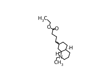 CCOC(=O)CC/C=C1\CC[C@H]2CCCN(CC)[C@@H]2C1